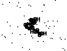 C=CC.CC1COC(=O)CCCCC(=O)O1.O=C(O)CCC(=O)O.O=C(O)c1ccccc1C(=O)O